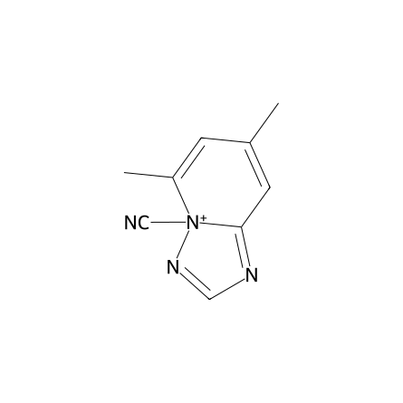 CC1=CC2=NC=N[N+]2(C#N)C(C)=C1